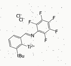 CC(C)(C)c1cccc(C=Nc2c(F)c(F)c(F)c(F)c2F)[c]1[Ti+2].[Cl-].[Cl-]